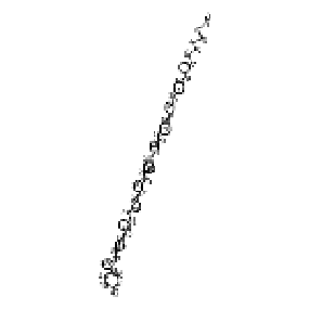 CCCCCCCCOCCOCCOCCOCCOCCOCCOCCOCCOCCOCCOc1ccccc1